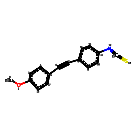 CCCCOc1ccc(C#Cc2ccc(N=C=S)cc2)cc1